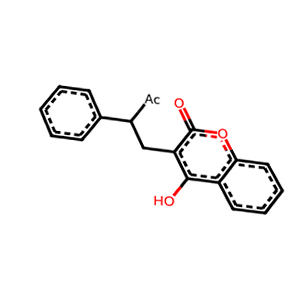 CC(=O)C(Cc1c(O)c2ccccc2oc1=O)c1ccccc1